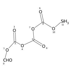 O=COC(=O)OC(=O)OC(=O)O[SiH3]